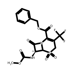 COC(=O)N[C@H]1C(=O)N2C(C(=O)OCc3ccccc3)=C(C(F)(F)F)CS(=O)(=O)C12